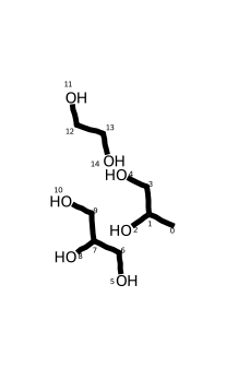 CC(O)CO.OCC(O)CO.OCCO